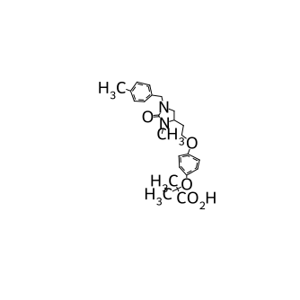 Cc1ccc(CN2CC(CCOc3ccc(OC(C)(C)C(=O)O)cc3)N(C)C2=O)cc1